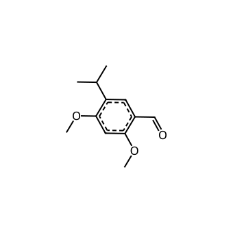 COc1cc(OC)c(C(C)C)cc1C=O